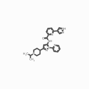 CC(C)N1CCC(c2cc(NC(=O)c3cccc(-c4cn[nH]c4)n3)n(-c3ccccn3)n2)CC1